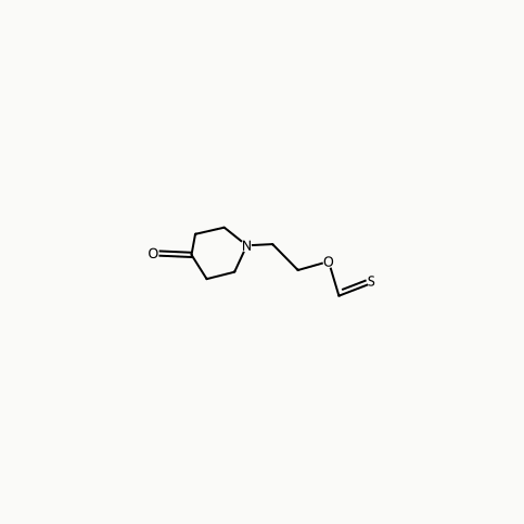 O=C1CCN(CCOC=S)CC1